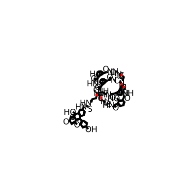 O=C(O)c1cc(NC(=S)NCCCCC2CN3CCNC(=O)c4cccc(c4O)C(=O)NCCN(CCNC(=O)c4cccc(c4O)C(=O)N2)CCN2CCNC(=O)c4cccc(c4O)C(=O)NCCN(CCNC(=O)c4cccc(c4O)C(=O)NCC2)CC3)ccc1-c1c2ccc(=O)cc-2oc2cc(O)ccc12